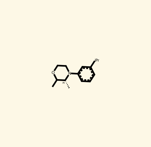 CC(C)c1cccc(N2CCOC(C)[C@H]2C)c1